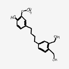 COc1cc(CCCCc2ccc(CO)c(CO)c2)ccc1O